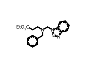 CCOC(=O)CCN(Cc1ccccc1)Cn1nnc2ccccc21